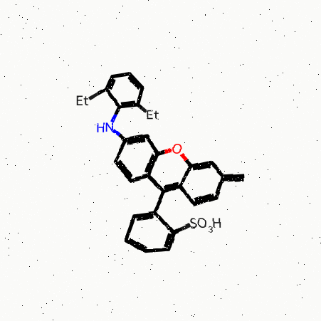 C=c1ccc2c(c1)Oc1cc(Nc3c(CC)cccc3CC)ccc1C=2c1ccccc1S(=O)(=O)O